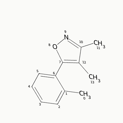 Cc1ccccc1-c1onc(C)c1C